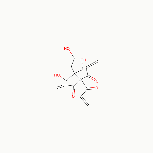 C=CC(=O)C(C(=O)C=C)(C(=O)C=C)C(CO)(CO)CCO